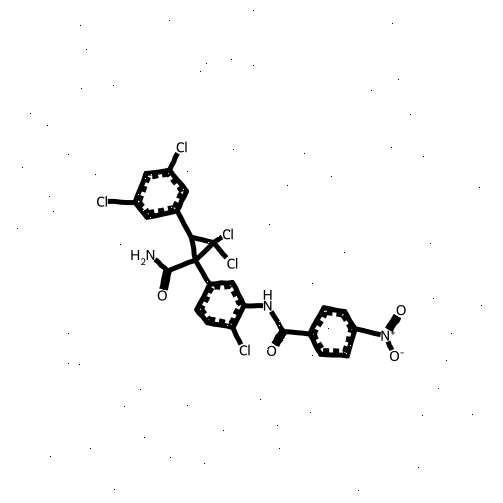 NC(=O)C1(c2ccc(Cl)c(NC(=O)c3ccc([N+](=O)[O-])cc3)c2)C(c2cc(Cl)cc(Cl)c2)C1(Cl)Cl